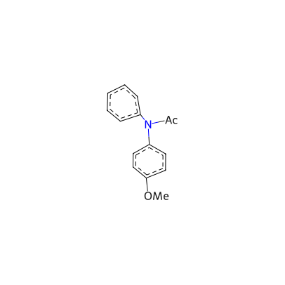 COc1ccc(N(C(C)=O)c2ccccc2)cc1